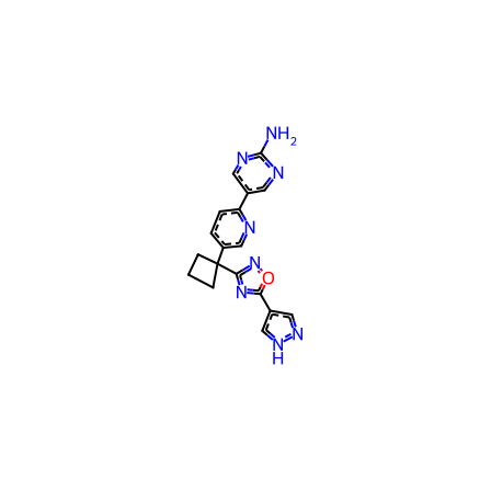 Nc1ncc(-c2ccc(C3(c4noc(-c5cn[nH]c5)n4)CCC3)cn2)cn1